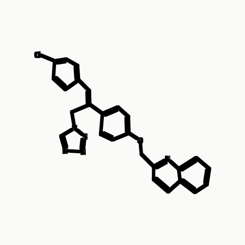 Clc1ccc(C=C(Cn2cnnn2)c2ccc(OCc3ccc4ccccc4n3)cc2)cc1